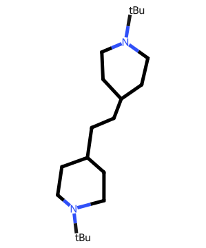 CC(C)(C)N1CCC(CCC2CCN(C(C)(C)C)CC2)CC1